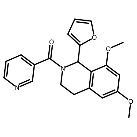 COc1cc2c(c(OC)c1)C(c1ccco1)N(C(=O)c1cccnc1)CC2